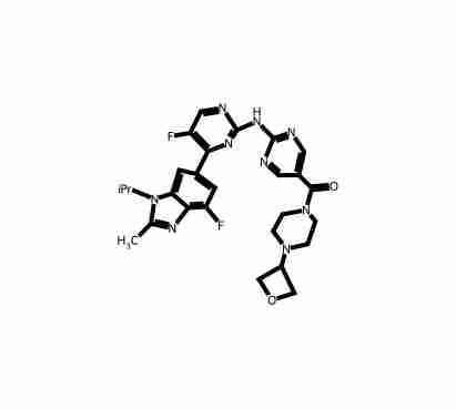 Cc1nc2c(F)cc(-c3nc(Nc4ncc(C(=O)N5CCN(C6COC6)CC5)cn4)ncc3F)cc2n1C(C)C